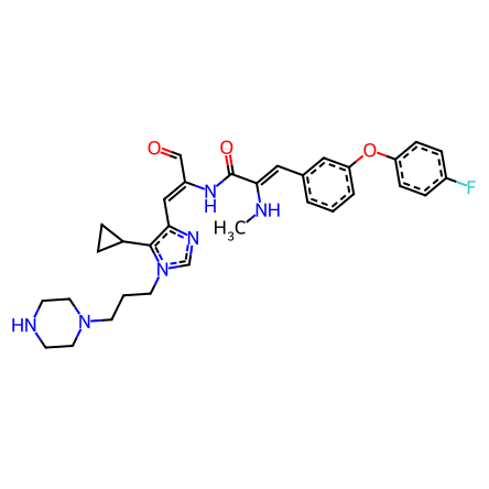 CN/C(=C\c1cccc(Oc2ccc(F)cc2)c1)C(=O)N/C(C=O)=C\c1ncn(CCCN2CCNCC2)c1C1CC1